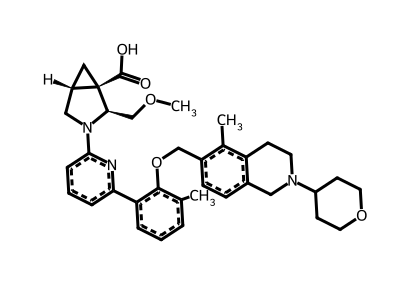 COC[C@H]1N(c2cccc(-c3cccc(C)c3OCc3ccc4c(c3C)CCN(C3CCOCC3)C4)n2)C[C@@H]2C[C@@]21C(=O)O